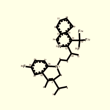 CC1=C(C(C)C)CN(CCC(C)c2ncc3ccccc3c2C(F)(F)F)c2ccc(F)cc21